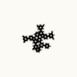 Cc1cc(C)cc(-c2ccc3c(c2)c2cc(-c4cc(C)cc(C)c4)ccc2n3-c2ccncc2-c2ccc(-c3nc(-c4ccccc4)nc(-c4ccccc4)n3)cc2-n2c3ccc(-c4cc(C)cc(C)c4)cc3c3cc(-c4cc(C)cc(C)c4)ccc32)c1